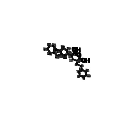 O=C(O)[C@@H](CCc1ccccc1)CC(=NO)c1ccc2c(c1)CC1=C2CCCC1